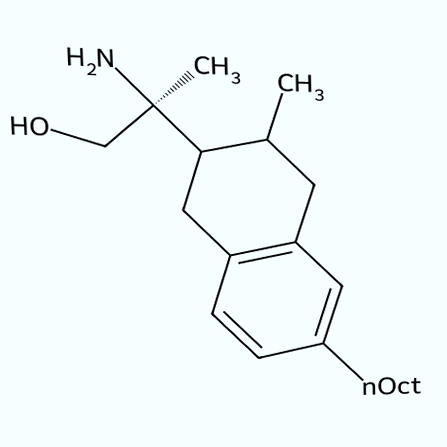 CCCCCCCCc1ccc2c(c1)CC(C)C([C@](C)(N)CO)C2